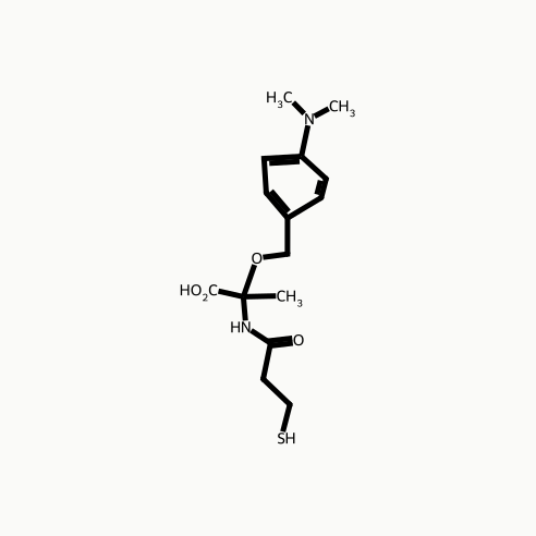 CN(C)c1ccc(COC(C)(NC(=O)CCS)C(=O)O)cc1